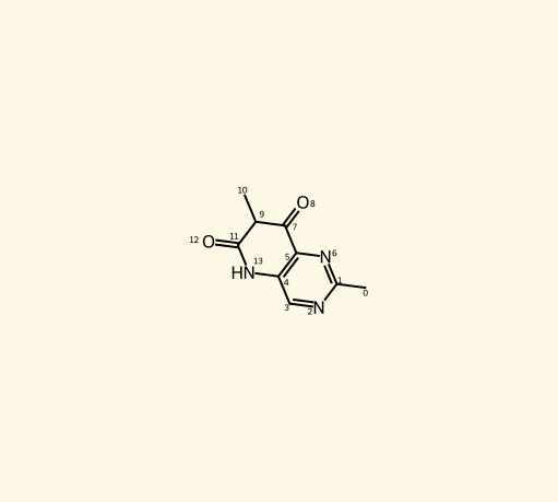 Cc1ncc2c(n1)C(=O)C(C)C(=O)N2